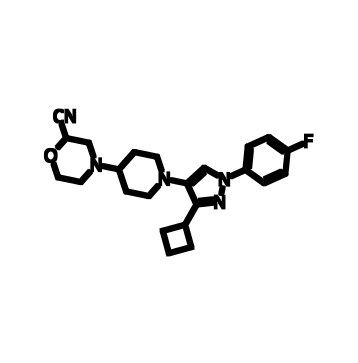 N#CC1CN(C2CCN(c3cn(-c4ccc(F)cc4)nc3C3CCC3)CC2)CCO1